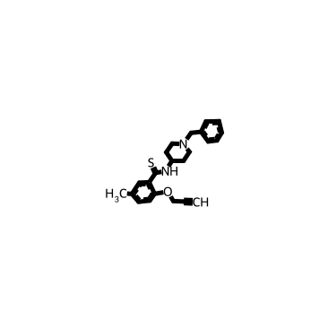 C#CCOc1ccc(C)cc1C(=S)NC1CCN(Cc2ccccc2)CC1